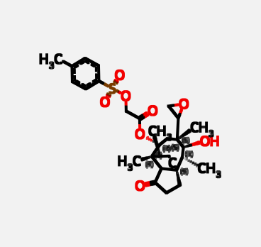 Cc1ccc(S(=O)(=O)OCC(=O)O[C@@H]2C[C@](C)(C3CO3)[C@@H](O)[C@H](C)[C@]34CCC(=O)C3[C@@]2(C)[C@H](C)CC4)cc1